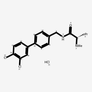 CCC[C@H](NC)C(=O)NCc1ccc(-c2ccc(Cl)c(Cl)c2)cc1.Cl